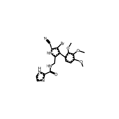 COc1ccc(-c2c(CNC(=O)c3ncc[nH]3)[nH]c(C#N)c2Br)c(OC)c1OC